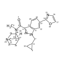 CN(C(=O)c1nn(CC2CC2)c2cc(-c3ncco3)ccc12)[C@@H]1CN2CCC1CC2